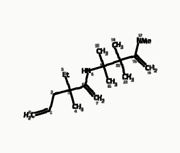 C=CCC(C)(CC)C(=C)NC(C)(C)C(C)(C)C(=C)NC